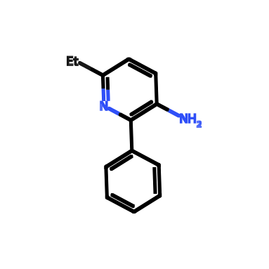 CCc1ccc(N)c(-c2ccccc2)n1